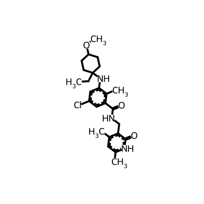 CCC1(Nc2cc(Cl)cc(C(=O)NCc3c(C)cc(C)[nH]c3=O)c2C)CCC(OC)CC1